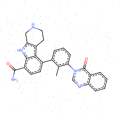 Cc1c(-c2ccc(C(N)=O)c3[nH]c4c(c23)CCNC4)cccc1-n1cnc2ccccc2c1=O